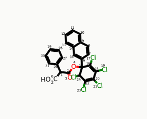 O=C(O)C(C(=O)OC1(c2ccc3ccccc3c2)C(Cl)=C(Cl)C(Cl)=C(Cl)C1Cl)c1ccccc1